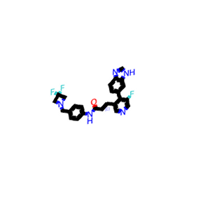 O=C(/C=C/c1cncc(F)c1-c1ccc2nc[nH]c2c1)Nc1ccc(CN2CC(F)(F)C2)cc1